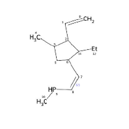 C=CC1C(C)CC(/C=C\PC)C1CC